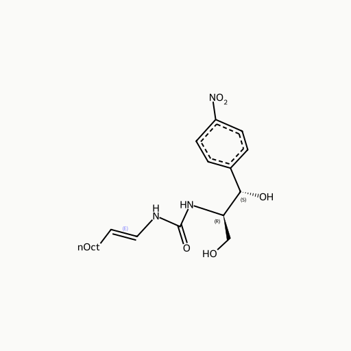 CCCCCCCC/C=C/NC(=O)N[C@H](CO)[C@@H](O)c1ccc([N+](=O)[O-])cc1